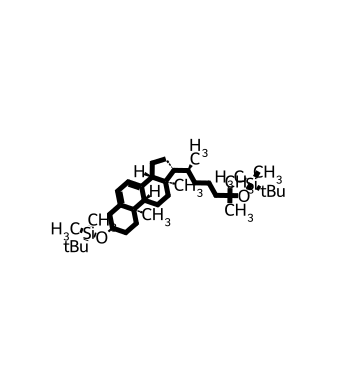 C[C@@H](CCCC(C)(C)O[Si](C)(C)C(C)(C)C)[C@H]1CC[C@H]2C3=CC=C4C[C@@H](O[Si](C)(C)C(C)(C)C)CC[C@]4(C)[C@H]3CC[C@]12C